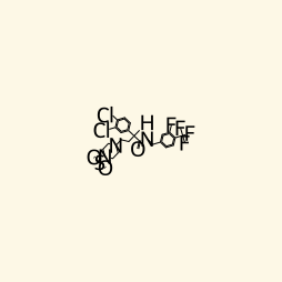 CC(CCN1CCN(S(C)(=O)=O)CC1)(C(=O)NCc1ccc(C(F)(F)F)c(F)c1)c1ccc(Cl)c(Cl)c1